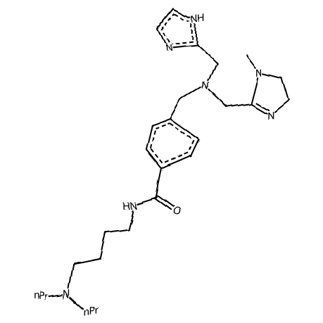 CCCN(CCC)CCCCNC(=O)c1ccc(CN(CC2=NCCN2C)Cc2ncc[nH]2)cc1